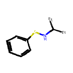 CCC(CC)NSc1[c]cccc1